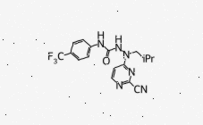 CC(C)CN(NC(=O)Nc1ccc(C(F)(F)F)cc1)c1ccnc(C#N)n1